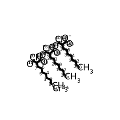 CCCCCCCCC(C(C)=O)C(=O)[O-].CCCCCCCCC(C(C)=O)C(=O)[O-].CCCCCCCCC(C(C)=O)C(=O)[O-].[Cr+3]